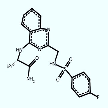 CC(C)[C@H](Nc1nc(CNS(=O)(=O)c2ccc(F)cc2)nc2ccccc12)C(N)=O